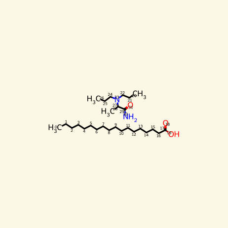 CCCCCCCCCCCCCCCCCC(=O)O.CCCN(CCC)C(C)C(N)=O